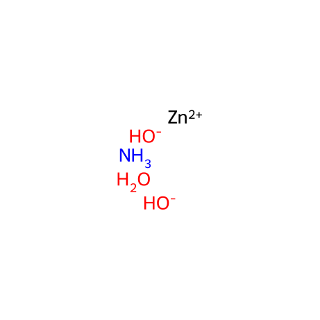 N.O.[OH-].[OH-].[Zn+2]